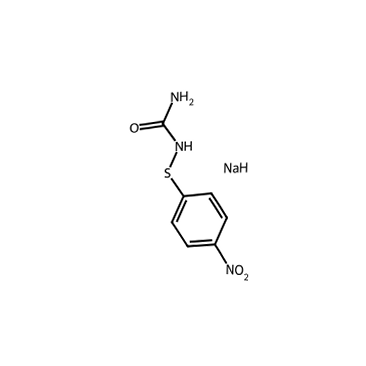 NC(=O)NSc1ccc([N+](=O)[O-])cc1.[NaH]